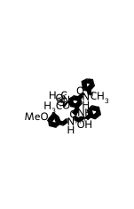 COc1ccc(CCNC[C@@H](O)[C@H](Cc2ccccc2)NC(=O)c2cc(C(=O)N[C@H](C)c3ccccc3)cc(N(C)S(C)(=O)=O)c2)cc1